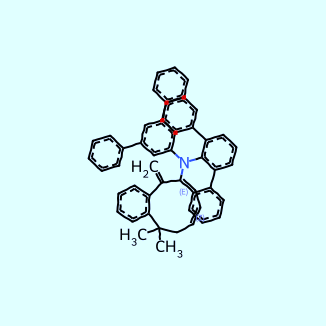 C=C1/C(N(c2cc(-c3ccccc3)cc(-c3ccccc3)c2)c2c(-c3ccccc3)cccc2-c2ccccc2)=C\C=C/CC(C)(C)c2ccccc21